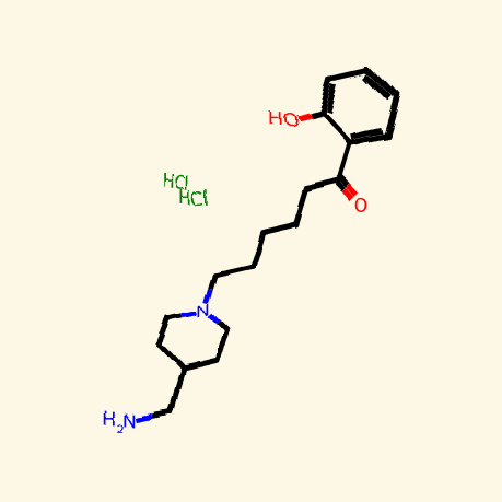 Cl.Cl.NCC1CCN(CCCCCC(=O)c2ccccc2O)CC1